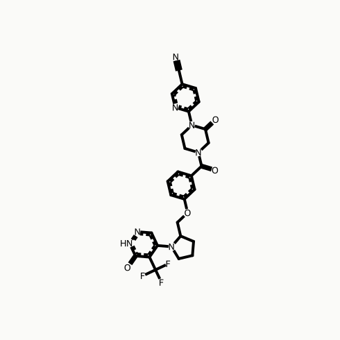 N#Cc1ccc(N2CCN(C(=O)c3cccc(OCC4CCCN4c4cn[nH]c(=O)c4C(F)(F)F)c3)CC2=O)nc1